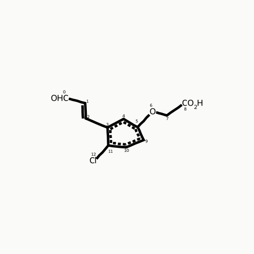 O=CC=Cc1cc(OCC(=O)O)ccc1Cl